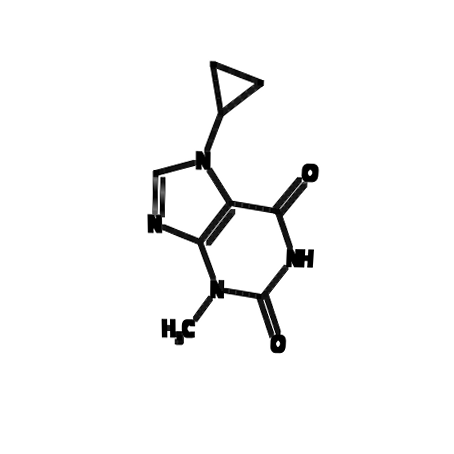 Cn1c(=O)[nH]c(=O)c2c1ncn2C1CC1